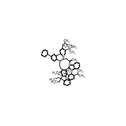 C=C1CC2C(CCc3c(cc4c(c3C)C(CC)(CC)c3ccccc3-4)-c3n(-c4c(C(C)C)cccc4C(C)C)c4ccccc4[n+]31)c1ccc(-c3ccccc3)cc1-c1cc(CC(C)C)c([Si](C)(C)C)c[n+]12